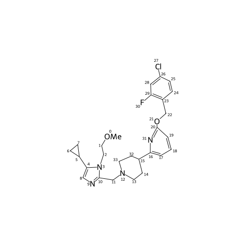 COCCn1c(C2CC2)cnc1CN1CCC(c2cccc(OCc3ccc(Cl)cc3F)n2)CC1